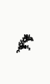 C=CCOc1ccc(Cc2ccc(OCC=C)c(N)c2)cc1N